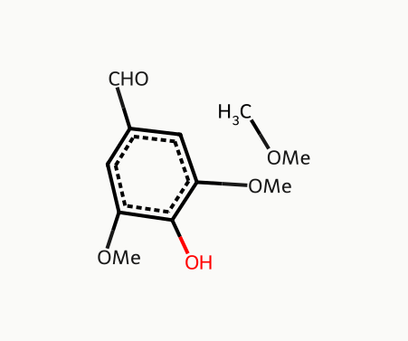 COC.COc1cc(C=O)cc(OC)c1O